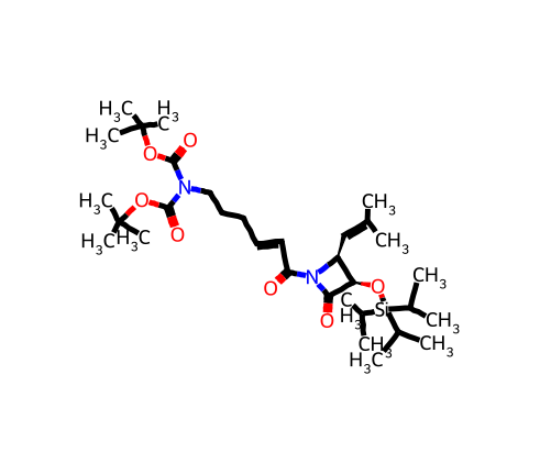 CC(C)=C[C@H]1[C@@H](O[Si](C(C)C)(C(C)C)C(C)C)C(=O)N1C(=O)/C=C/CCCN(C(=O)OC(C)(C)C)C(=O)OC(C)(C)C